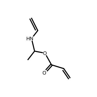 C=CNC(C)OC(=O)C=C